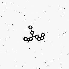 c1ccc(-c2ccc(N(c3ccc4c(ccc5ccc6ccccc6c54)c3)c3ccc4sc5ccccc5c4c3)cc2)cc1